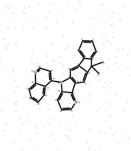 CC1(C)c2ccccc2-c2cc3c(cc21)c1ncccc1n3-c1ccnc2ccccc12